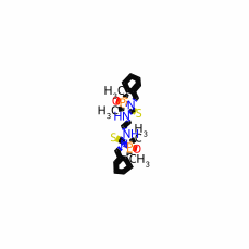 CCP(=O)(CC)N(CC1=CCCCC1)C(=S)NCCNC(=S)N(CC1=CCCCC1)P(=O)(CC)CC